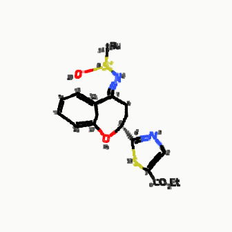 CCOC(=O)c1cnc([C@H]2C/C(=N/[S+]([O-])C(C)(C)C)c3ccccc3O2)s1